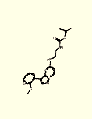 COc1ncccc1-c1cnn2ccc(NCCNC(=O)OC(C)C)nc12